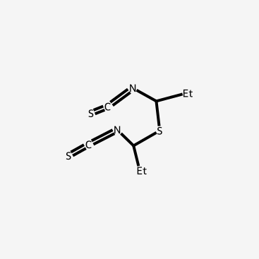 CCC(N=C=S)SC(CC)N=C=S